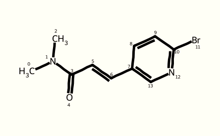 CN(C)C(=O)C=Cc1ccc(Br)nc1